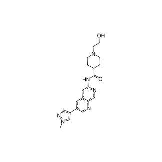 Cn1cc(-c2cnc3cnc(NC(=O)C4CCN(CCO)CC4)cc3c2)cn1